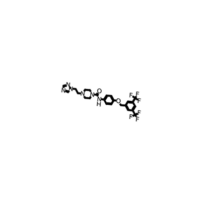 O=C(Nc1ccc(OCc2cc(C(F)(F)F)cc(C(F)(F)F)c2)cc1)N1CCN(CCn2cncn2)CC1